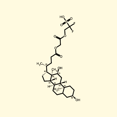 C[C@H](CCC(=O)OCC(=O)OCC(F)(F)S(=O)(=O)O)[C@H]1CC[C@H]2[C@@H]3CCC4C[C@H](O)CC[C@]4(C)[C@H]3C[C@H](O)[C@]12C